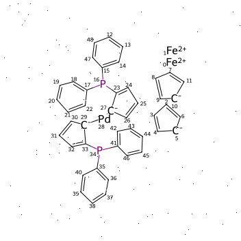 [Fe+2].[Fe+2].c1cc[cH-]c1.c1cc[cH-]c1.c1ccc(P(c2ccccc2)c2ccc[c-]2[Pd][c-]2cccc2P(c2ccccc2)c2ccccc2)cc1